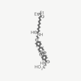 CCN(CC)C(=O)CCCCCCCCC(O)NCCOC1=CCC(C2CCN(S(=O)(=O)C3=CCC(C(=O)NCC(=O)O)C=C3)CC2)C=C1